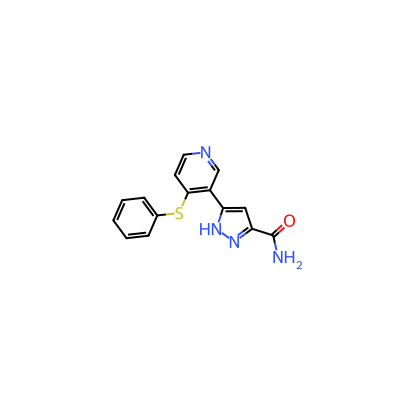 NC(=O)c1cc(-c2cnccc2Sc2ccccc2)[nH]n1